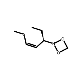 CC[C@H](/C=C\SC)N1OCO1